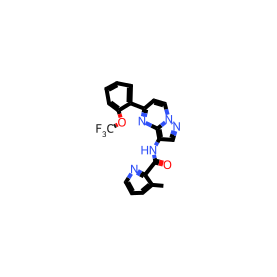 Cc1cccnc1C(=O)Nc1cnn2ccc(-c3ccccc3OC(F)(F)F)nc12